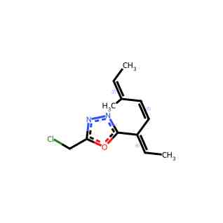 C\C=C(C)/C=C\C(=C/C)c1nnc(CCl)o1